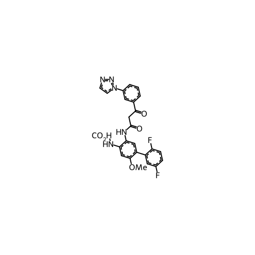 COc1cc(NC(=O)O)c(NC(=O)CC(=O)c2cccc(-n3ccnn3)c2)cc1-c1cc(F)ccc1F